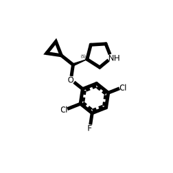 Fc1cc(Cl)cc(OC(C2CC2)[C@H]2CCNC2)c1Cl